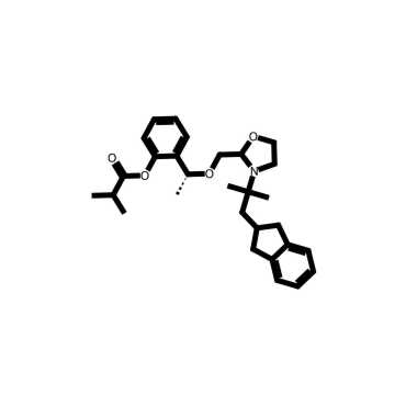 CC(C)C(=O)Oc1ccccc1[C@@H](C)OCC1OCCN1C(C)(C)CC1Cc2ccccc2C1